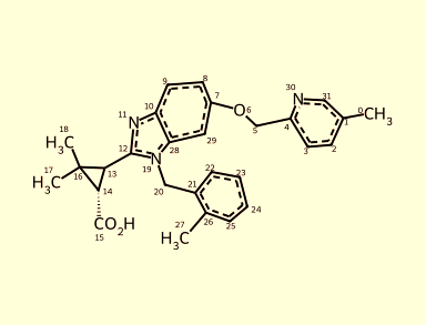 Cc1ccc(COc2ccc3nc(C4[C@H](C(=O)O)C4(C)C)n(Cc4ccccc4C)c3c2)nc1